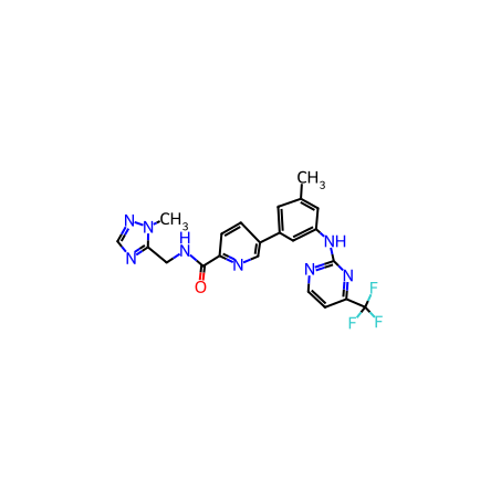 Cc1cc(Nc2nccc(C(F)(F)F)n2)cc(-c2ccc(C(=O)NCc3ncnn3C)nc2)c1